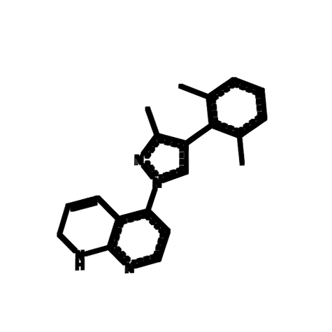 Cc1cccc(C)c1-c1cn(-c2ccnc3c2C=CCN3)nc1C